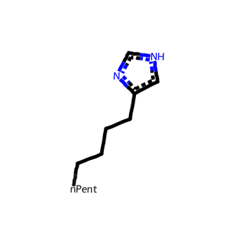 [CH2]CCCCCCCCc1c[nH]cn1